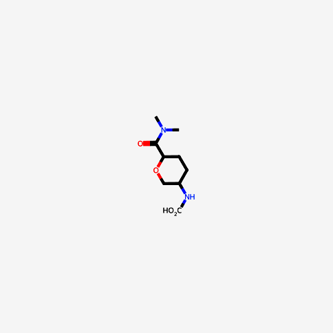 CN(C)C(=O)C1CCC(NC(=O)O)CO1